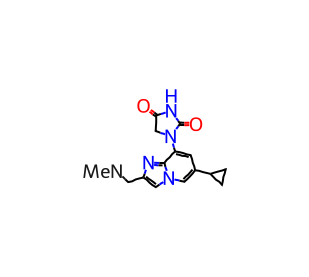 CNCc1cn2cc(C3CC3)cc(N3CC(=O)NC3=O)c2n1